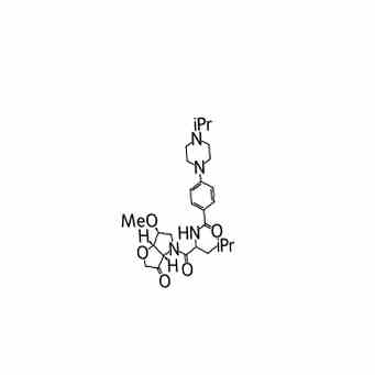 CO[C@H]1CN(C(=O)C(CC(C)C)NC(=O)c2ccc(N3CCN(C(C)C)CC3)cc2)[C@@H]2C(=O)CO[C@H]12